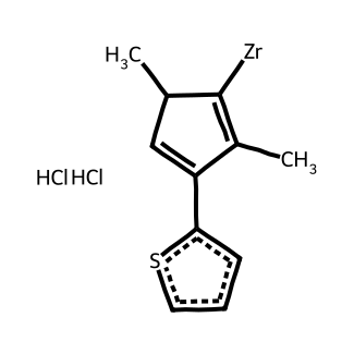 CC1=[C]([Zr])C(C)C=C1c1cccs1.Cl.Cl